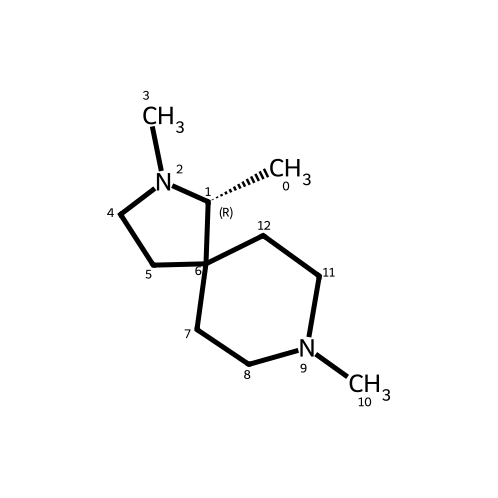 C[C@H]1N(C)CCC12CCN(C)CC2